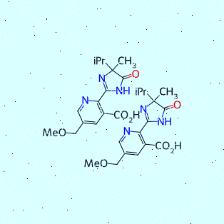 COCc1cnc(C2=NC(C)(C(C)C)C(=O)N2)c(C(=O)O)c1.COCc1cnc(C2=NC(C)(C(C)C)C(=O)N2)c(C(=O)O)c1